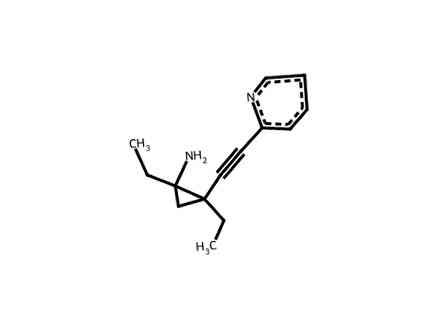 CCC1(N)CC1(C#Cc1ccccn1)CC